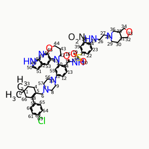 CC1(C)CCC(CN2CCN(c3ccc(C(=O)NS(=O)(=O)c4ccc(NCCN5CCC6COCC6C5)c([N+](=O)[O-])c4)c(N4CCCOc5nc6[nH]ccc6cc54)c3)CC2)=C(c2ccc(Cl)cc2)C1